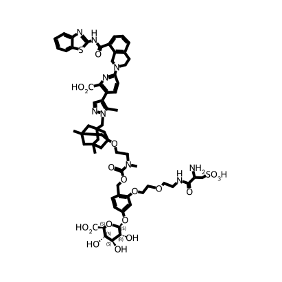 Cc1c(-c2ccc(N3CCc4cccc(C(=O)Nc5nc6ccccc6s5)c4C3)nc2C(=O)O)cnn1CC12CC3(C)CC(C)(C1)CC(OCCN(C)C(=O)OCc1ccc(O[C@@H]4O[C@H](C(=O)O)[C@@H](O)[C@H](O)[C@H]4O)cc1OCCOCCNC(=O)C(N)CS(=O)(=O)O)(C3)C2